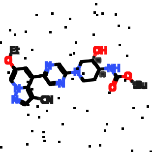 CCOc1cc(-c2cnc(N3CC[C@H](NC(=O)OC(C)(C)C)[C@@H](O)C3)cn2)c2c(C#N)cnn2c1